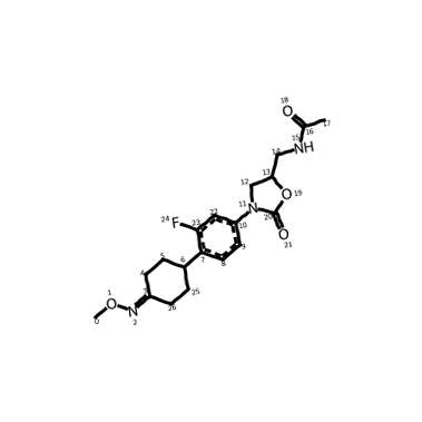 CON=C1CCC(c2ccc(N3CC(CNC(C)=O)OC3=O)cc2F)CC1